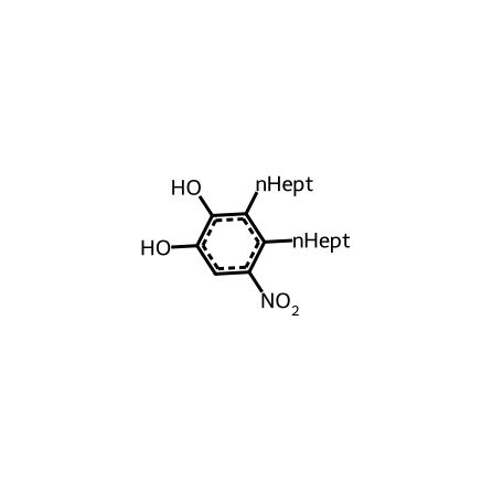 CCCCCCCc1c([N+](=O)[O-])cc(O)c(O)c1CCCCCCC